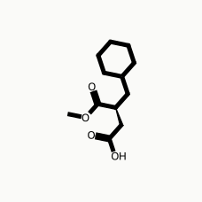 COC(=O)[C@H](CC(=O)O)CC1CCCCC1